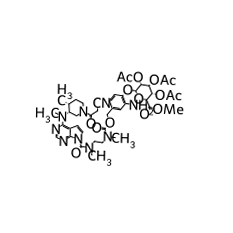 COC(=O)[C@H]1O[C@@H](Oc2ccc(COC(=O)N(C)CCN(C)C(=O)n3ccc4c(N(C)[C@H]5CN(C(=O)CC#N)CC[C@H]5C)ncnc43)cc2N)[C@H](OC(C)=O)[C@@H](OC(C)=O)[C@@H]1OC(C)=O